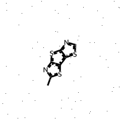 Cc1nc2sc3ncsc3c2s1